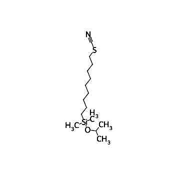 CC(C)O[Si](C)(C)CCCCCCCCCSC#N